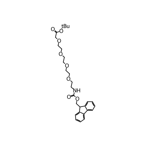 CC(C)(C)OC(=O)COCCOCCOCCOCCNC(=O)OCC1c2ccccc2-c2ccccc21